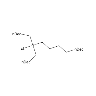 CCCCCCCCCCCCCC[N+](CC)(CCCCCCCCCCC)CCCCCCCCCCC